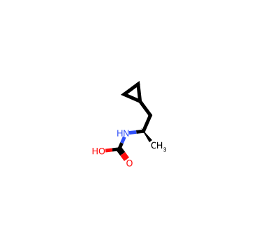 C[C@H](CC1CC1)NC(=O)O